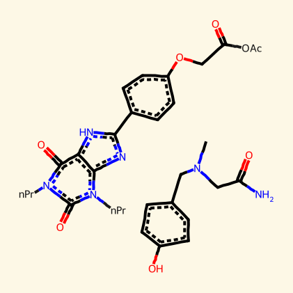 CCCn1c(=O)c2[nH]c(-c3ccc(OCC(=O)OC(C)=O)cc3)nc2n(CCC)c1=O.CN(CC(N)=O)Cc1ccc(O)cc1